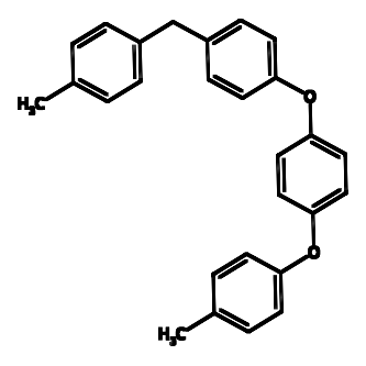 Cc1ccc(Cc2ccc(Oc3ccc(Oc4ccc(C)cc4)cc3)cc2)cc1